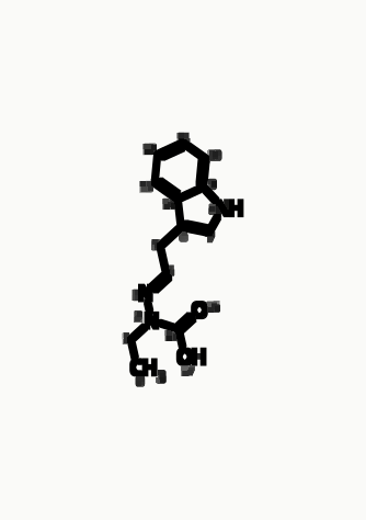 CCN(N=CCc1c[nH]c2ccccc12)C(=O)O